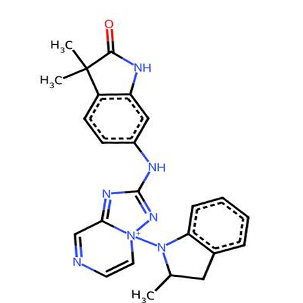 CC1Cc2ccccc2N1[N+]12C=CN=CC1=NC(Nc1ccc3c(c1)NC(=O)C3(C)C)=N2